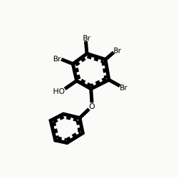 Oc1c(Br)c(Br)c(Br)c(Br)c1Oc1ccccc1